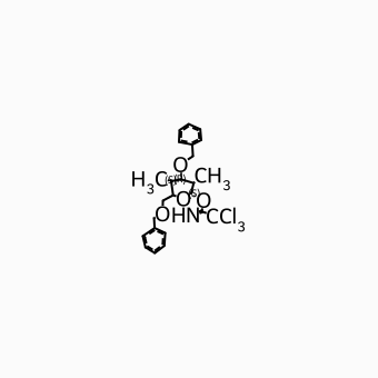 CC1[C@H](OC(=N)C(Cl)(Cl)Cl)OC(COCc2ccccc2)[C@@H](C)[C@H]1OCc1ccccc1